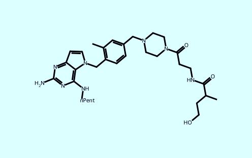 CCCCCNc1nc(N)nc2ccn(Cc3ccc(CN4CCN(C(=O)CCNC(=O)C(C)CCO)CC4)cc3C)c12